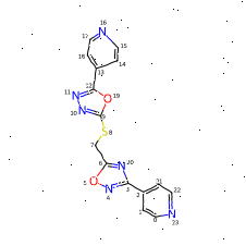 c1cc(-c2noc(CSc3nnc(-c4ccncc4)o3)n2)ccn1